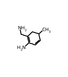 CC1C=CC(N)=C(CN)C1